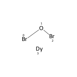 BrOBr.[Dy]